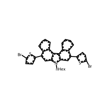 CCCCCCn1c2cc(-c3ccc(Br)s3)c3ccccc3c2c2c3ccccc3c(-c3ccc(Br)s3)cc21